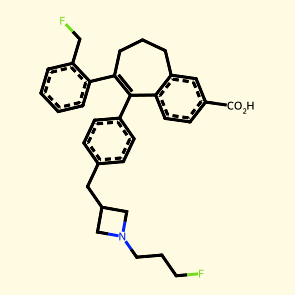 O=C(O)c1ccc2c(c1)CCCC(c1ccccc1CF)=C2c1ccc(CC2CN(CCCF)C2)cc1